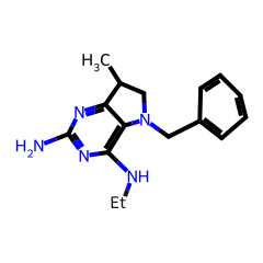 CCNc1nc(N)nc2c1N(Cc1ccccc1)CC2C